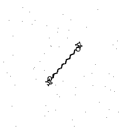 C[Si](C)(C)OC=CCCCCCCCCCCO[Si](C)(C)C